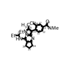 CCC(CC)Nc1c2c(nc3c(-c4ccc(C(=O)NC)cc4Cl)c(C)nn13)CCC2